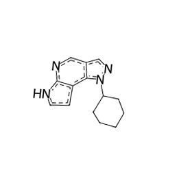 c1cc2c(ncc3cnn(C4CCCCC4)c32)[nH]1